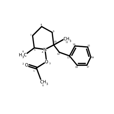 CC(=O)ON1C(C)CCCC1(C)Cc1ccccc1